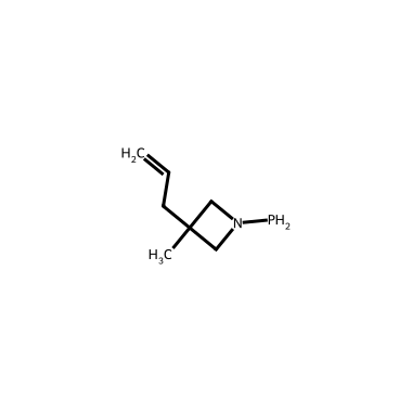 C=CCC1(C)CN(P)C1